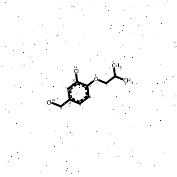 CC(C)COc1ccc(CCl)cc1Cl